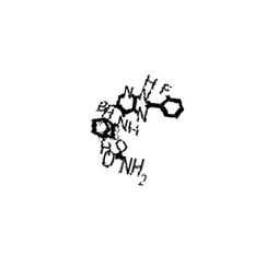 NC(=O)O[C@@H]1[C@H](Nc2c(Br)cnc3[nH]c(-c4ccccc4F)nc23)[C@H]2C=C[C@@H]1C2